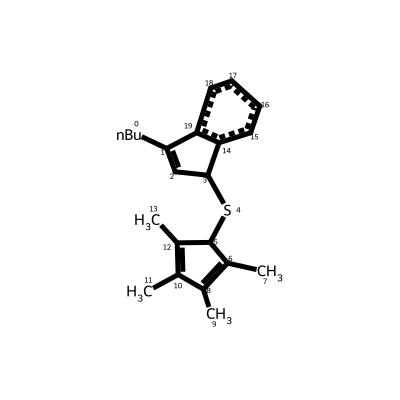 CCCCC1=CC(SC2C(C)=C(C)C(C)=C2C)c2ccccc21